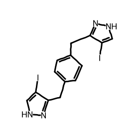 Ic1c[nH]nc1Cc1ccc(Cc2n[nH]cc2I)cc1